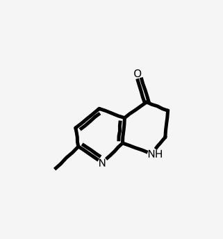 Cc1ccc2c(n1)NCCC2=O